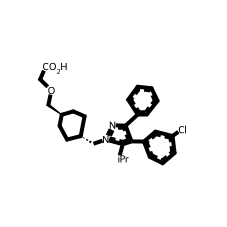 CC(C)c1c(-c2cccc(Cl)c2)c(-c2ccccc2)nn1C[C@H]1CC[C@H](COCC(=O)O)CC1